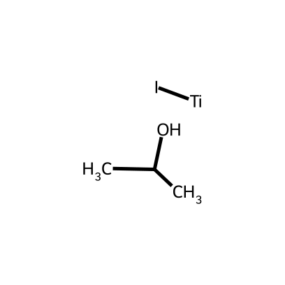 CC(C)O.[Ti][I]